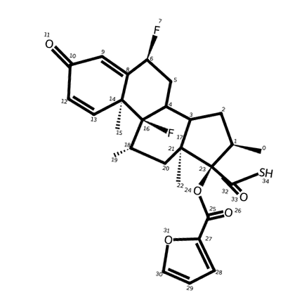 C[C@@H]1CC2C3C[C@H](F)C4=CC(=O)C=C[C@]4(C)[C@@]3(F)[C@@H](C)C[C@]2(C)[C@@]1(OC(=O)c1ccco1)C(=O)S